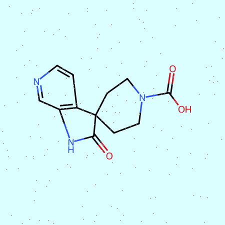 O=C(O)N1CCC2(CC1)C(=O)Nc1cnccc12